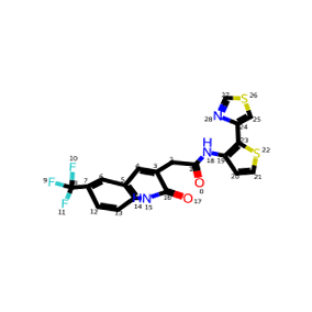 O=C(Cc1cc2cc(C(F)(F)F)ccc2[nH]c1=O)Nc1ccsc1-c1cscn1